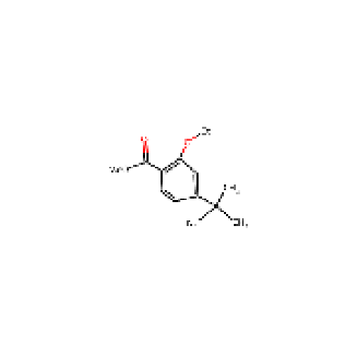 CCOc1cc(C(C)(C)C#N)ccc1C(=O)OC